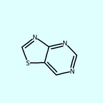 c1ncc2scnc2n1